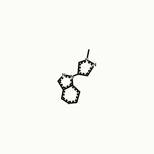 Cn1cc(-n2ncc3c[c]ccc32)cn1